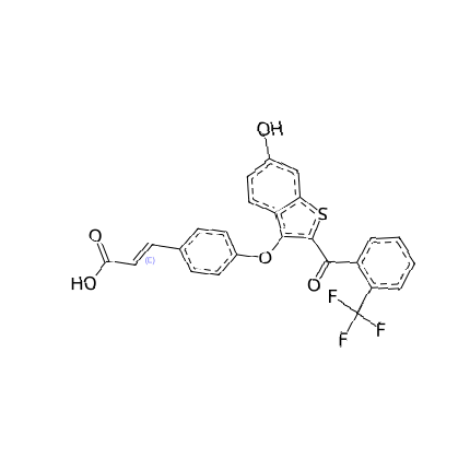 O=C(O)/C=C/c1ccc(Oc2c(C(=O)c3ccccc3C(F)(F)F)sc3cc(O)ccc23)cc1